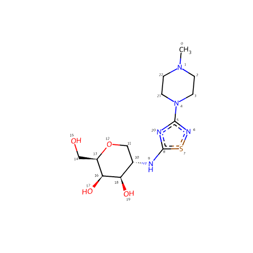 CN1CCN(c2nsc(N[C@H]3CO[C@H](CO)[C@H](O)[C@@H]3O)n2)CC1